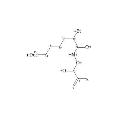 C=C(C)C(=O)ONC(=O)C(CC)CCCCCCCCCCCCCC